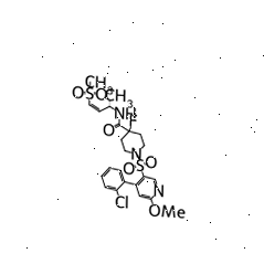 COc1cc(-c2ccccc2Cl)c(S(=O)(=O)N2CCC(F)(C(=O)N[C@@H](C)/C=C\S(C)(=O)=O)CC2)cn1